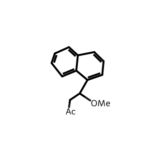 COC(CC(C)=O)c1cccc2ccccc12